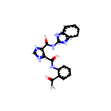 CC(=O)c1ccccc1NC(=O)c1[nH]cnc1C(=O)Nc1nc2ccccc2[nH]1